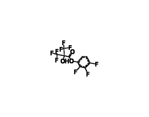 O=C(Oc1ccc(F)c(F)c1F)C(O)(C(F)(F)F)C(F)(F)F